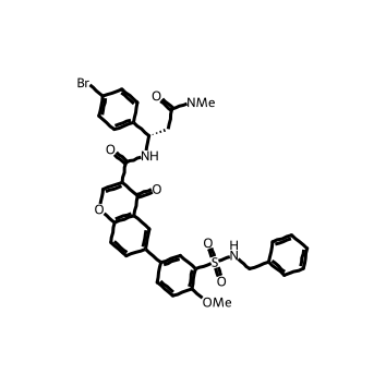 CNC(=O)C[C@H](NC(=O)c1coc2ccc(-c3ccc(OC)c(S(=O)(=O)NCc4ccccc4)c3)cc2c1=O)c1ccc(Br)cc1